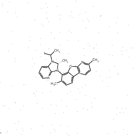 Cc1ccc2c(n1)oc1c(N3c4ncccc4N(C(C)I)[C@@H]3C)c(C)ccc12